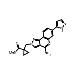 CNC(=O)C1(Cn2cc3c(N)nc4cc(-c5ccn[nH]5)ccc4c3n2)CC1